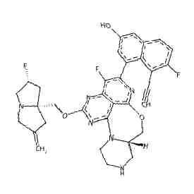 C#Cc1c(F)ccc2cc(O)cc(-c3nc4c5c(nc(OC[C@]67CC(=C)CN6C[C@H](F)C7)nc5c3F)N3CCNC[C@H]3CO4)c12